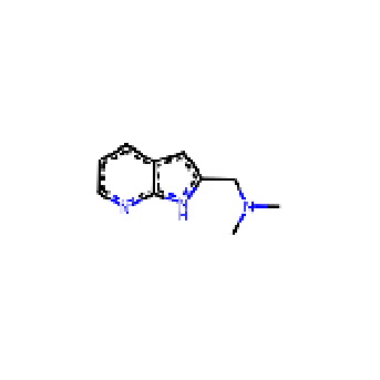 CN(C)Cc1cc2cccnc2[nH]1